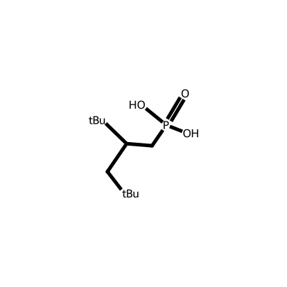 CC(C)(C)CC(CP(=O)(O)O)C(C)(C)C